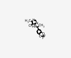 Cc1ncnc(NC(C)c2ccc3c(c2)OC(F)(F)O3)c1Cl